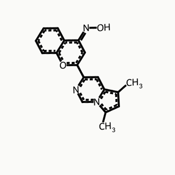 Cc1cc(C)n2cnc(-c3c/c(=N\O)c4ccccc4o3)cc12